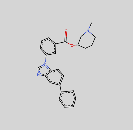 CN1CCCC(OC(=O)c2cccc(-n3cnc4cc(-c5ccccc5)ccc43)c2)C1